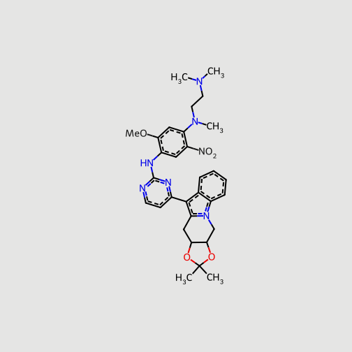 COc1cc(N(C)CCN(C)C)c([N+](=O)[O-])cc1Nc1nccc(-c2c3n(c4ccccc24)CC2OC(C)(C)OC2C3)n1